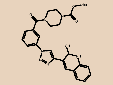 CC(C)(C)OC(=O)N1CCN(C(=O)c2cccc(-n3cc(C4=Cc5ccccc5NC4O)nn3)c2)CC1